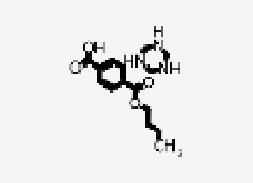 C1NCNCN1.CCCCOC(=O)c1ccc(C(=O)O)cc1